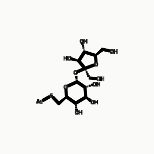 CC(=O)SC[C@H]1O[C@H](O[C@]2(CO)O[C@H](CO)[C@@H](O)[C@@H]2O)[C@H](O)[C@@H](O)[C@@H]1O